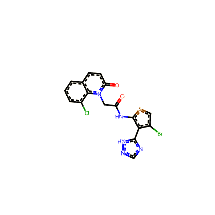 O=C(Cn1c(=O)ccc2cccc(Cl)c21)Nc1scc(Br)c1-c1ncn[nH]1